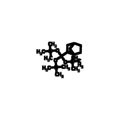 C[Si](C)(C)O[Si](O[Si](C)(C)C)(O[Si](C)(C)C)C1=C2CCC(C2)C1